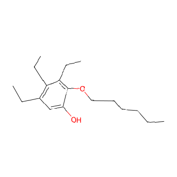 CCCCCCOc1c(O)cc(CC)c(CC)c1CC